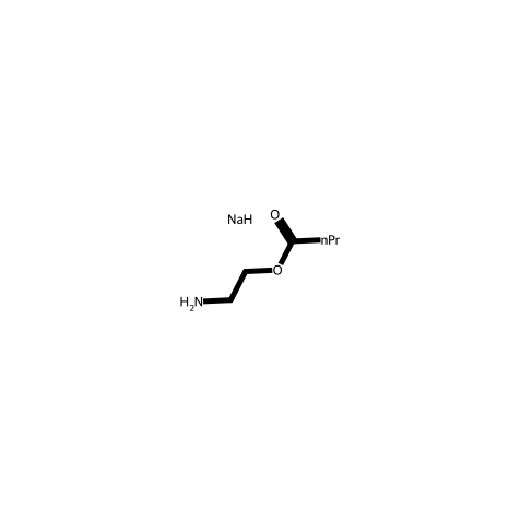 CCCC(=O)OCCN.[NaH]